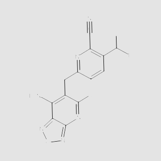 Cc1nc2nonc2c(N)c1Cc1ccc(C(F)F)c(C#N)n1